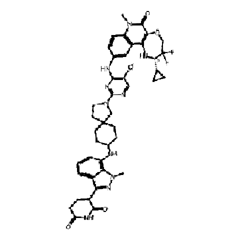 Cn1nc(C2CCC(=O)NC2=O)c2cccc(NC3CCC4(CC3)CCN(c3ncc(Cl)c(Nc5ccc6c(c5)c5c(c(=O)n6C)OCC(F)(F)[C@H](C6CC6)N5)n3)C4)c21